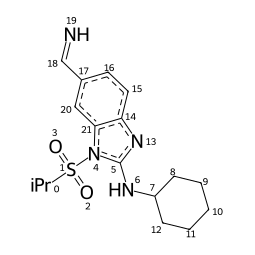 CC(C)S(=O)(=O)n1c(NC2CCCCC2)nc2ccc(C=N)cc21